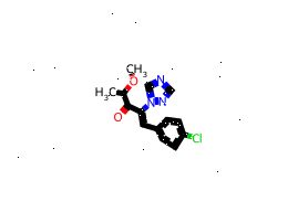 COC(C)C(=O)C(=Cc1ccc(Cl)cc1)n1cncn1